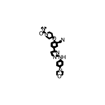 CN(C)C(=O)N1CCC(Oc2ccc(-c3ccnc(Nc4ccc(N5CCOCC5)cc4)n3)cc2C#N)CC1